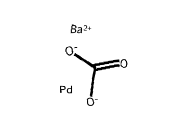 O=C([O-])[O-].[Ba+2].[Pd]